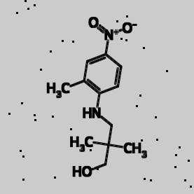 Cc1cc([N+](=O)[O-])ccc1NCC(C)(C)CO